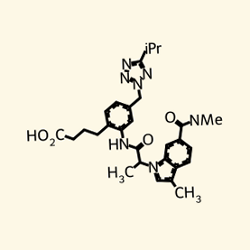 CNC(=O)c1ccc2c(C)cn(C(C)C(=O)Nc3cc(Cn4nnc(C(C)C)n4)ccc3CCCC(=O)O)c2c1